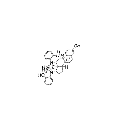 CN(c1ccccc1O)[C@H]1CC[C@H]2[C@@H]3CCc4cc(O)ccc4[C@H]3C[C@@H](N(C)c3ccccc3O)[C@]12C